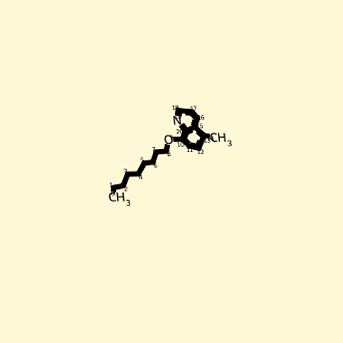 CCCCCCCCCOc1ccc(C)c2cccnc12